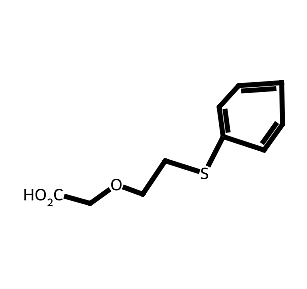 O=C(O)COCCSc1ccccc1